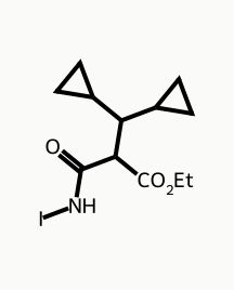 CCOC(=O)C(C(=O)NI)C(C1CC1)C1CC1